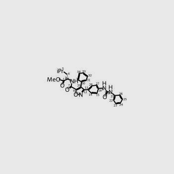 COC(=O)[C@H](CC(C)C)NC(=O)c1onc(-c2ccc(NC(=O)Nc3ccccc3)cc2)c1-c1ccccc1